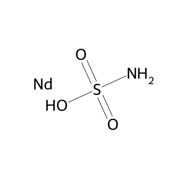 NS(=O)(=O)O.[Nd]